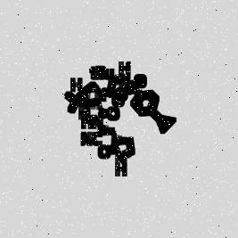 CC(C)(C)[C@H](NS(=O)(=O)c1ccc(C2CC2)cc1)C(=O)N1C[C@H]2[C@@H]([C@H]1C(=O)N[C@H](C#N)C[C@@H]1CCNC1=O)C2(C)C